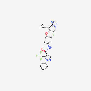 Nc1nccc(Oc2ccc(NC(=O)c3cnn(-c4ccccc4)c3C(F)(F)F)cc2F)c1C1CC1